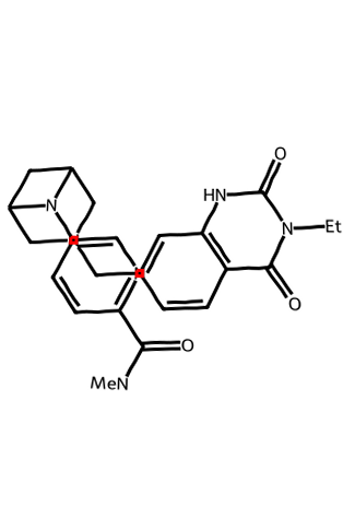 CCn1c(=O)[nH]c2cc(CN3CC4CC(C3)N4c3ccc(C(=O)NC)nc3)ccc2c1=O